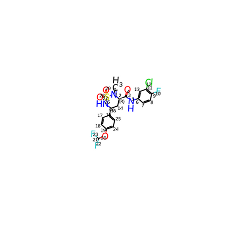 CN1[C@@H](C(=O)Nc2ccc(F)c(Cl)c2)C[C@@H](c2ccc(OC(F)F)cc2)NS1(=O)=O